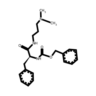 CN(C)CCCNC(=O)[C@H](Cc1cc[c]cc1)NC(=O)OCc1ccccc1